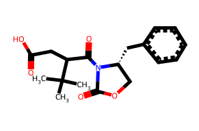 CC(C)(C)C(CC(=O)O)C(=O)N1C(=O)OC[C@H]1Cc1ccccc1